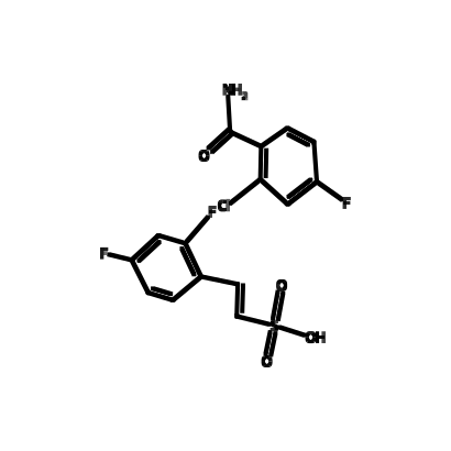 NC(=O)c1ccc(F)cc1Cl.O=S(=O)(O)/C=C/c1ccc(F)cc1F